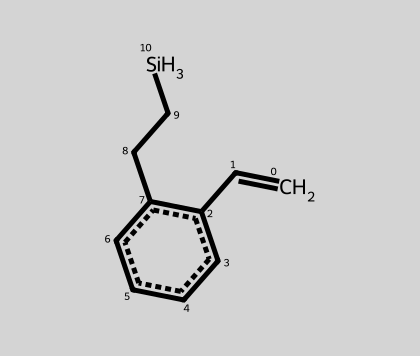 C=Cc1ccccc1CC[SiH3]